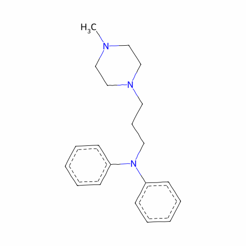 CN1CCN(CCCN(c2ccccc2)c2ccccc2)CC1